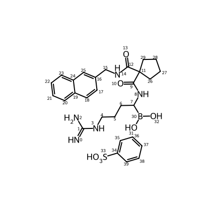 N=C(N)NCCCC(NC(=O)C1(C(=O)NCc2ccc3ccccc3c2)CCCC1)B(O)O.O=S(=O)(O)c1ccccc1